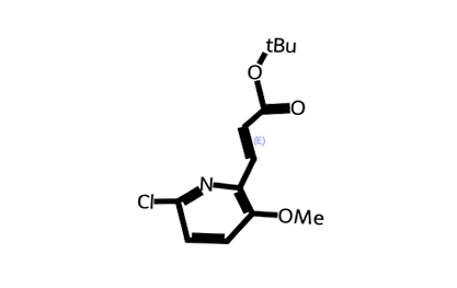 COc1ccc(Cl)nc1/C=C/C(=O)OC(C)(C)C